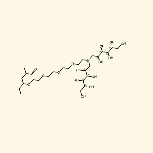 CCC(CC(C)C=O)OCCOCCOCCOCCN(C[C@H](O)[C@@H](O)[C@H](O)[C@H](O)CO)C[C@H](O)[C@@H](O)[C@H](O)[C@H](O)CO